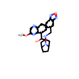 COc1cnc2cccc(C(O)CN3C4CCC3CC(NCc3ccc5nonc5c3)C4)c2n1